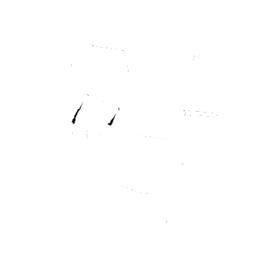 CCCC(C)/C=C1\C[C@@]2(C)C(=C(C)C1=O)CCC[C@@H]2O